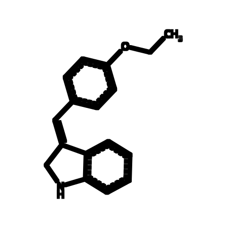 CCOc1ccc(/C=C2/CNc3ccccc32)cc1